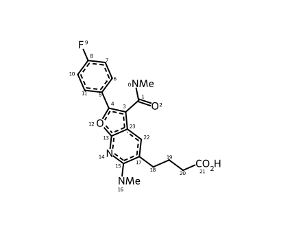 CNC(=O)c1c(-c2ccc(F)cc2)oc2nc(NC)c(CCCC(=O)O)cc12